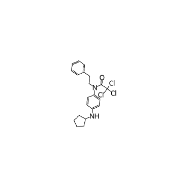 O=C(N(CCc1ccccc1)c1ccc(NC2CCCC2)cc1)C(Cl)(Cl)Cl